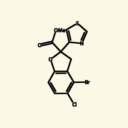 COC(=O)C1(c2cscn2)Cc2c(ccc(Cl)c2Br)O1